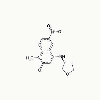 Cn1c(=O)cc(N[C@H]2CCOC2)c2cc([N+](=O)[O-])ccc21